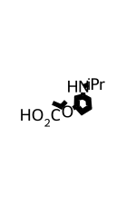 CC(C)Nc1cccc(OC(C)(C)C(=O)O)c1